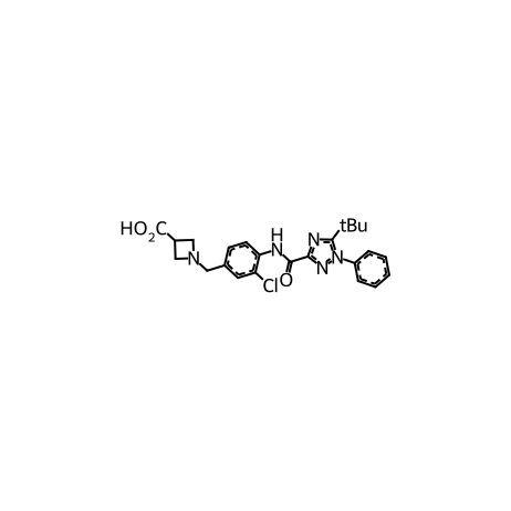 CC(C)(C)c1nc(C(=O)Nc2ccc(CN3CC(C(=O)O)C3)cc2Cl)nn1-c1ccccc1